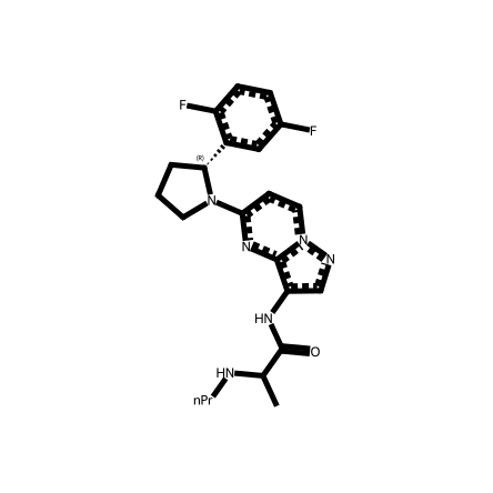 CCCNC(C)C(=O)Nc1cnn2ccc(N3CCC[C@@H]3c3cc(F)ccc3F)nc12